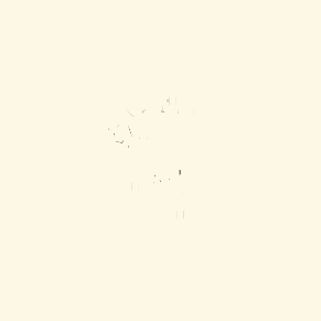 CC[C@H](O)C[C@H]1CCc2sc3ncnc(O[C@H]4CC[C@H](N(C)C(=O)OC(C)(C)C)CC4)c3c21